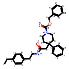 CCc1ccc(CCNC(=O)CC2(c3ccccc3)CCN(C(=O)OCc3ccccc3)CC2)cc1